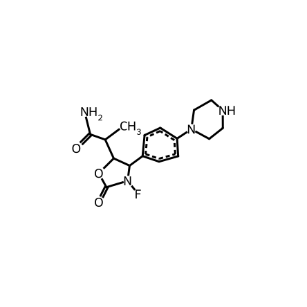 CC(C(N)=O)C1OC(=O)N(F)C1c1ccc(N2CCNCC2)cc1